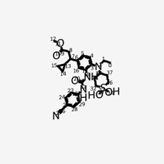 CCN(c1ccc(C(CC(=O)OC)C2CC2)cc1NC(=O)Nc1ccc(C#N)cc1)C1CCS(O)(O)CC1